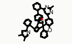 Cc1nc(-c2ccc3c(c2)C2(c4ccccc4O3)c3ccccc3-c3c(-c4ccccc4-c4cc(C)c(C)cn4)cccc32)cc(-c2ccccc2-c2ccccc2)n1